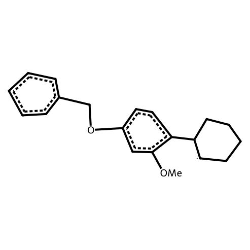 COc1cc(OCc2ccccc2)ccc1C1[CH]CCCC1